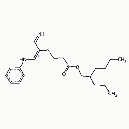 CCCCC(CCC)COC(=O)CCS/C(C=N)=C/Nc1ccccc1